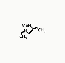 C\C=N/C=C\C(=C/C)NC